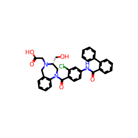 O=C(O)CN1Cc2ccccc2N(C(=O)c2ccc(NC(=O)c3ccccc3-c3ccccc3)cc2Cl)C[C@H]1CO